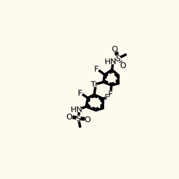 CS(=O)(=O)Nc1ccc(F)[c]([Ti][c]2c(F)ccc(NS(C)(=O)=O)c2F)c1F